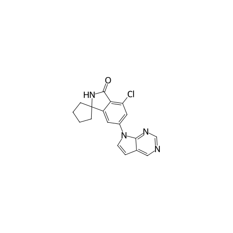 O=C1NC2(CCCC2)c2cc(-n3ccc4cncnc43)cc(Cl)c21